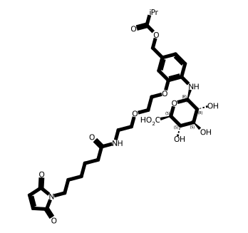 CC(C)C(=O)OCc1ccc(N[C@@H]2O[C@H](C(=O)O)[C@@H](O)[C@H](O)[C@H]2O)c(OCCOCCNC(=O)CCCCCN2C(=O)C=CC2=O)c1